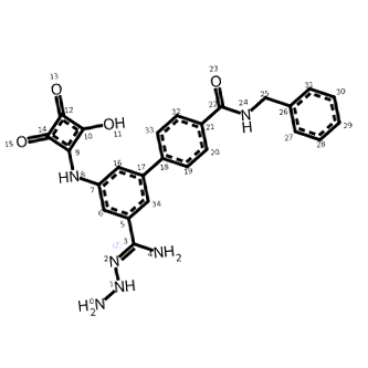 NN/N=C(\N)c1cc(Nc2c(O)c(=O)c2=O)cc(-c2ccc(C(=O)NCc3ccccc3)cc2)c1